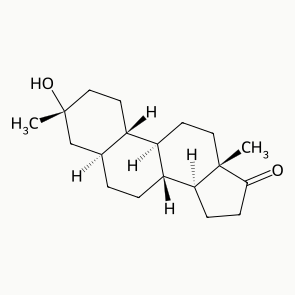 C[C@@]1(O)CC[C@H]2[C@@H](CC[C@@H]3[C@@H]2CC[C@]2(C)C(=O)CC[C@@H]32)C1